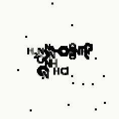 CCN1CCCC1CNS(=O)(=O)c1ccc(-c2cnc(N)c(C(=O)Nc3cccnc3)n2)cc1.Cl